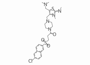 C/N=c1\sc(CN(C)C)c(CN2CCN(C(=O)CCS(=O)(=O)c3ccc4cc(Cl)ccc4c3)CC2)n1C